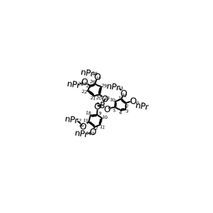 CCCOc1ccc(OB(Oc2ccc(OCCC)c(OCCC)c2)Oc2ccc(OCCC)c(OCCC)c2)cc1OCCC